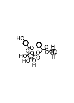 CN1[C@@H]2CC[C@H]1C[C@@H](OC(=O)C(COC(=O)[C@H]1O[C@@H](OC(=O)c3ccc(O)cc3)[C@H](O)[C@@H](O)[C@@H]1O)c1ccccc1)C2